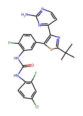 CC(C)(C)c1nc(-c2ccnc(N)n2)c(-c2ccc(F)c(NC(=O)Nc3ccc(Cl)cc3F)c2)s1